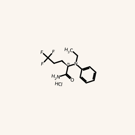 CCN(c1ccccc1)[C@H](CCC(F)(F)F)C(N)=O.Cl